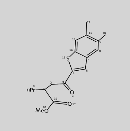 CCCC(CC(=O)c1cc2cc(C)c(C)cc2s1)C(=O)OC